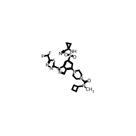 CN(C(=O)N1CCN(c2cc(S(=O)(=O)NC3(C#N)CC3)cc3c2cnn3-c2nnc(C(F)F)s2)CC1)C1CCC1